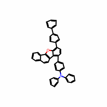 c1ccc(-c2ccc(-c3ccc(-c4ccc(N(c5ccccc5)c5ccccc5)cc4)c4c3oc3c5ccccc5ccc34)cc2)cc1